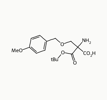 COc1ccc(COCC(N)(C(=O)O)C(=O)OC(C)(C)C)cc1